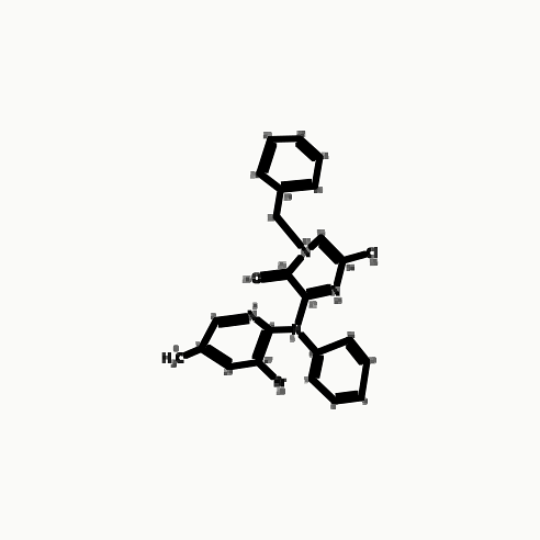 Cc1cnc(N(c2ccccc2)c2nc(Cl)cn(Cc3ccccc3)c2=O)c(Br)c1